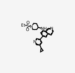 CCS(=O)(=O)N1CCC(Nc2cc(-c3cncc(C4CC4)c3)cc3ccncc23)CC1